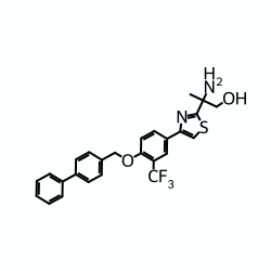 CC(N)(CO)c1nc(-c2ccc(OCc3ccc(-c4ccccc4)cc3)c(C(F)(F)F)c2)cs1